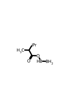 BBOC(=O)C(C)C(C)C